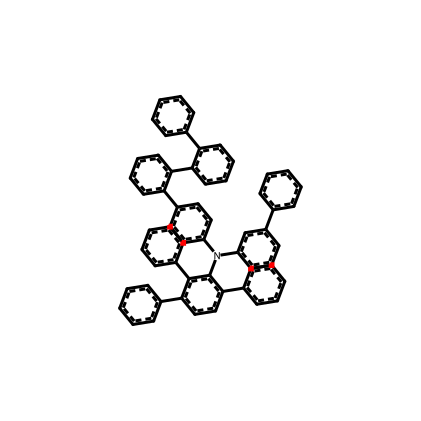 c1ccc(-c2cccc(N(c3ccc(-c4ccccc4-c4ccccc4-c4ccccc4)cc3)c3c(-c4ccccc4)ccc(-c4ccccc4)c3-c3ccccc3)c2)cc1